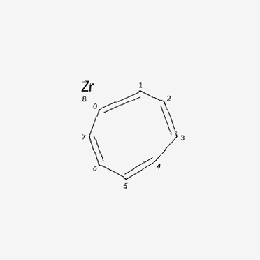 C1=CC=CC=CC=C1.[Zr]